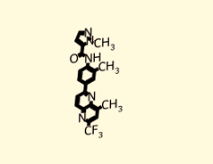 Cc1cc(-c2ccc3nc(C(F)(F)F)cc(C)c3n2)ccc1NC(=O)c1ccnn1C